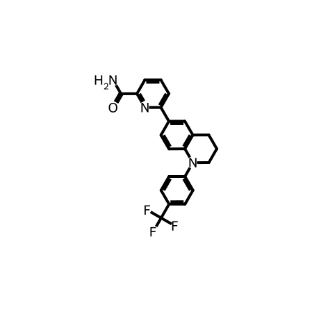 NC(=O)c1cccc(-c2ccc3c(c2)CCCN3c2ccc(C(F)(F)F)cc2)n1